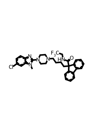 Cn1c(N2CCN(CCCCC3(C(=O)NCC(F)(F)F)c4ccccc4-c4ccccc43)CC2)nc2ccc(Cl)cc21